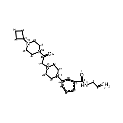 C=CCNC(=O)c1cccc(N2CCN(CC(=O)N3CCN(C4CCC4)CC3)CC2)c1